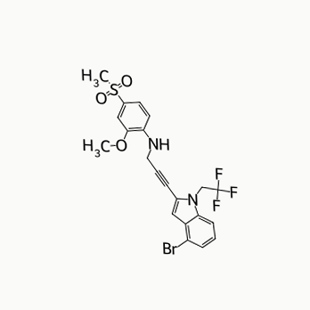 COc1cc(S(C)(=O)=O)ccc1NCC#Cc1cc2c(Br)cccc2n1CC(F)(F)F